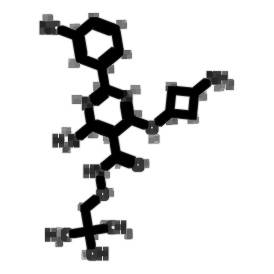 CC(C)(O)CONC(=O)c1c(N)nc(-c2cccc(C#N)c2)nc1OC1CC(N)C1